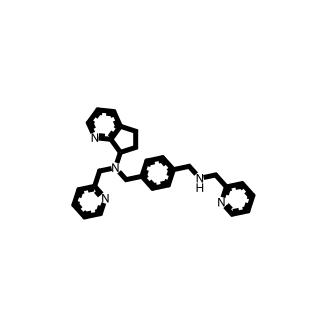 c1ccc(CNCc2ccc(CN(Cc3ccccn3)C3CCc4cccnc43)cc2)nc1